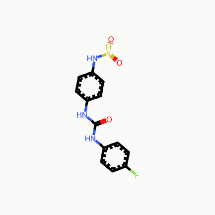 O=C(Nc1ccc(F)cc1)Nc1ccc(N[SH](=O)=O)cc1